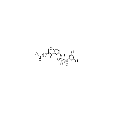 O=C(NC1CN(C(=O)C2CC2)C1)c1cc(NC(=O)[C@@H]2[C@@H](c3cc(Cl)cc(Cl)c3)C2(Cl)Cl)ccc1Cl